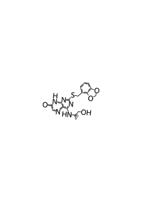 C[C@H](CO)Nc1nc(SCc2cccc3c2OCO3)nc2[nH]c(=O)cnc12